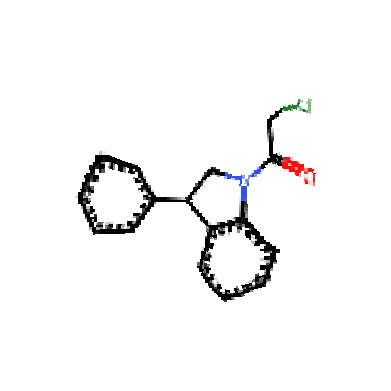 O=C(CCl)N1CC(c2ccccc2)c2ccccc21